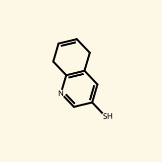 Sc1cnc2c(c1)CC=CC2